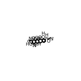 CN(C)CC(=O)Nc1ccc2c(c1O)C(=O)C1=C(O)[C@]3(O)C(=O)C(C(N)=O)=C(O)[C@H](N(C)C)[C@H]3C[C@@H]1C2